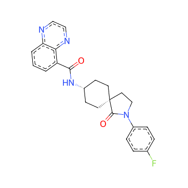 O=C(N[C@H]1CC[C@@]2(CCN(c3ccc(F)cc3)C2=O)CC1)c1cccc2nccnc12